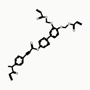 C=CC(=O)OCOc1ccc(-c2ccc(OC(=O)C#Cc3ccc(C(C)C(=O)C=C)cc3)cc2)cc1OCOC(=O)C=C